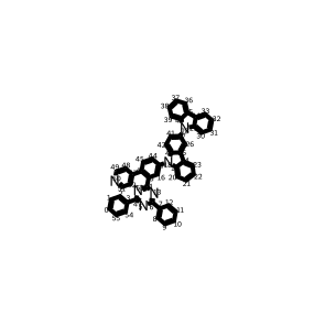 c1ccc(-c2nc(-c3ccccc3)nc(-c3cc(-n4c5ccccc5c5cc(-n6c7ccccc7c7ccccc76)ccc54)ccc3-c3ccncc3)n2)cc1